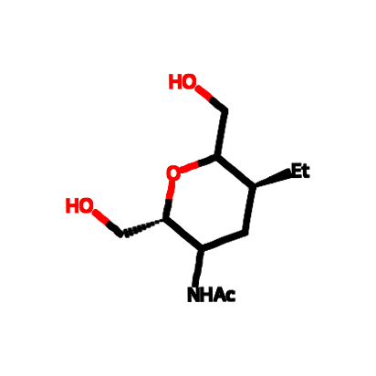 CC[C@H]1CC(NC(C)=O)[C@H](CO)OC1CO